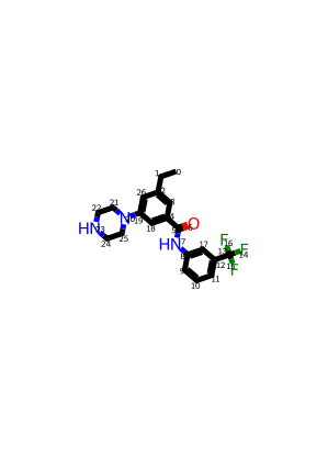 CCc1cc(C(=O)Nc2cccc(C(F)(F)F)c2)cc(N2CCNCC2)c1